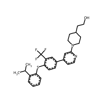 CC(C)c1ccccc1Sc1ccc(-c2ccnc(N3CCC(CCO)CC3)c2)cc1C(F)(F)F